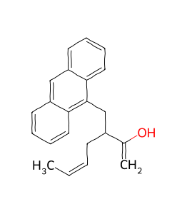 C=C(O)C(C/C=C\C)Cc1c2ccccc2cc2ccccc12